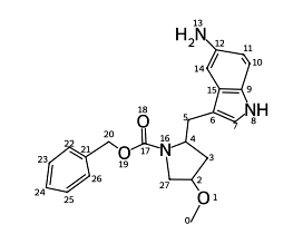 COC1CC(Cc2c[nH]c3ccc(N)cc23)N(C(=O)OCc2ccccc2)C1